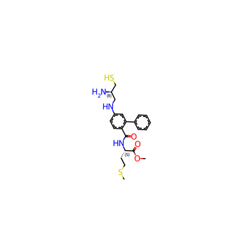 COC(=O)[C@H](CCSC)NC(=O)c1ccc(NC[C@@H](N)CS)cc1-c1ccccc1